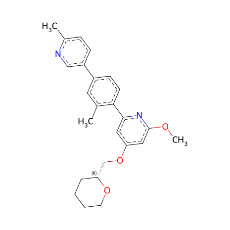 COc1cc(OC[C@H]2CCCCO2)cc(-c2ccc(-c3ccc(C)nc3)cc2C)n1